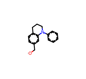 [O]Cc1ccc2c(c1)N(c1ccccc1)CCC2